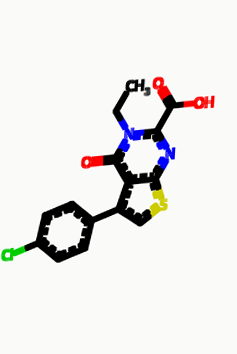 CCn1c(C(=O)O)nc2scc(-c3ccc(Cl)cc3)c2c1=O